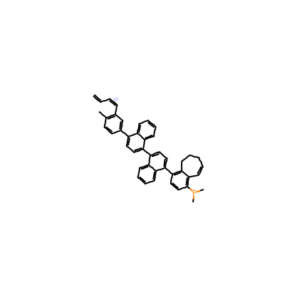 C=C/C=C\c1cc(-c2ccc(-c3ccc(-c4ccc(P(C)C)c5c4CCCC=C5)c4ccccc34)c3ccccc23)ccc1C